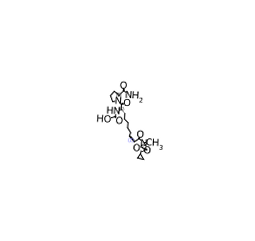 CN(C(=O)/C=C\CCCCC[C@H](NC(=O)O)C(=O)N1CCC[C@H]1C(N)=O)S(=O)(=O)C1CC1